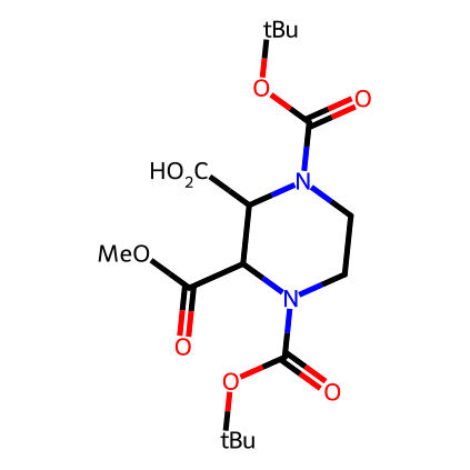 COC(=O)C1C(C(=O)O)N(C(=O)OC(C)(C)C)CCN1C(=O)OC(C)(C)C